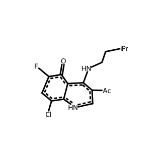 CC(=O)c1c[nH]c2c(Cl)cc(F)c(=O)c-2c1NCCC(C)C